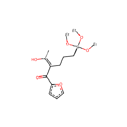 CCO[Si](CCC/C(C(=O)c1ccco1)=C(\C)O)(OCC)OCC